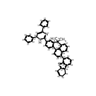 CC1(C)c2cc(C3=NC(c4ccccc4)=CC(c4ccccc4)N3)ccc2-c2ccc(-c3cccc4c5c(sc34)C=CCC5)c3cccc1c23